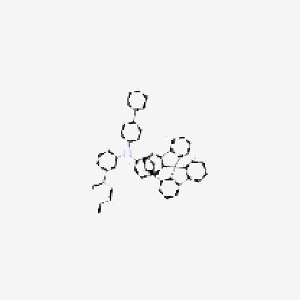 C=C/C=C\C(=C/C)c1cccc(N(c2ccc(-c3ccccc3)cc2)c2ccc(-c3cccc4c3C3(c5ccccc5-c5ccccc53)c3ccccc3-4)cc2)c1